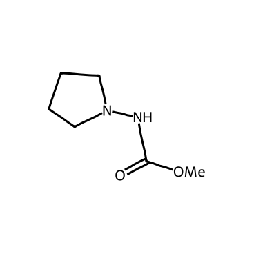 COC(=O)NN1CCCC1